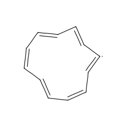 [C]1=C/C=C\C=C\C=C/C=C/C=C/1